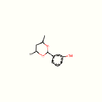 CCC1CC(C)OC(c2cccc(O)c2)O1